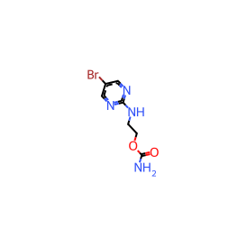 NC(=O)OCCNc1ncc(Br)cn1